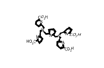 O=C(O)c1cccc(CN(Cc2cccc(CN(Cc3cccc(C(=O)O)n3)Cc3cccc(C(=O)O)n3)n2)Cc2cccc(C(=O)O)n2)n1